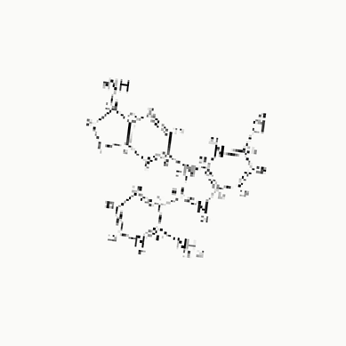 N=C1CCc2cc(-n3c(-c4cccnc4N)nc4ccc(Cl)nc43)ccc21